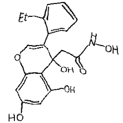 CCc1ccccc1C1=COc2cc(O)cc(O)c2C1(O)CC(=O)NO